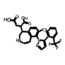 O=C(O)CC(C(=O)O)C1CNCCc2c1ccc(Cl)c2-n1nccc1-c1ccccc1C(F)(F)F